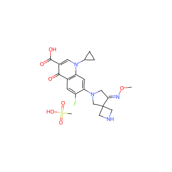 CON=C1CN(c2cc3c(cc2F)c(=O)c(C(=O)O)cn3C2CC2)CC12CNC2.CS(=O)(=O)O